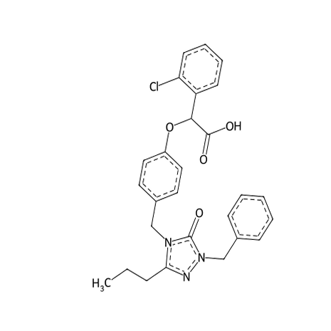 CCCc1nn(Cc2ccccc2)c(=O)n1Cc1ccc(OC(C(=O)O)c2ccccc2Cl)cc1